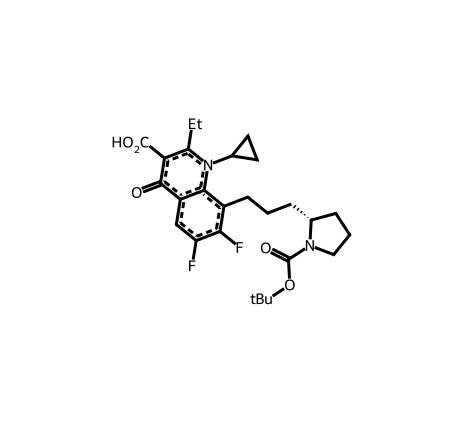 CCc1c(C(=O)O)c(=O)c2cc(F)c(F)c(CCC[C@@H]3CCCN3C(=O)OC(C)(C)C)c2n1C1CC1